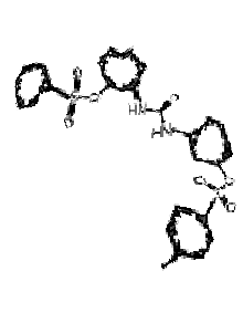 Cc1ccc(S(=O)(=O)Oc2cccc(NC(=O)Nc3ccccc3OS(=O)(=O)c3ccccc3)c2)cc1